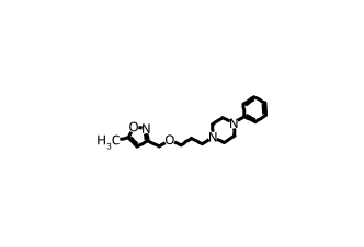 Cc1cc(COCCCN2CCN(c3ccccc3)CC2)no1